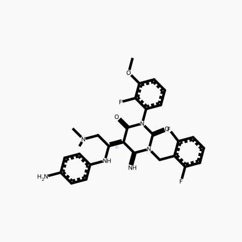 COc1cccc(N2C(=O)/C(=C(\CN(C)C)Nc3ccc(N)cc3)C(=N)N(Cc3c(F)cccc3F)C2=O)c1F